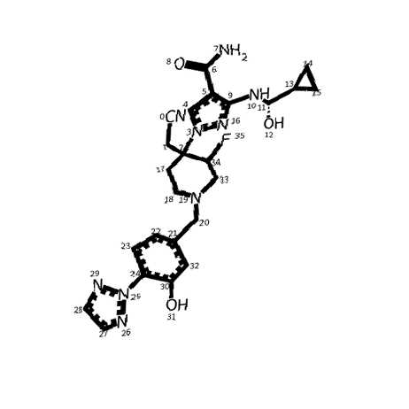 N#CCC1(n2cc(C(N)=O)c(N[C@@H](O)C3CC3)n2)CCN(Cc2ccc(-n3nccn3)c(O)c2)CC1F